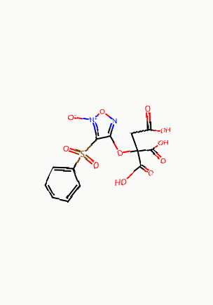 O=C(O)CC(Oc1no[n+]([O-])c1S(=O)(=O)c1ccccc1)(C(=O)O)C(=O)O